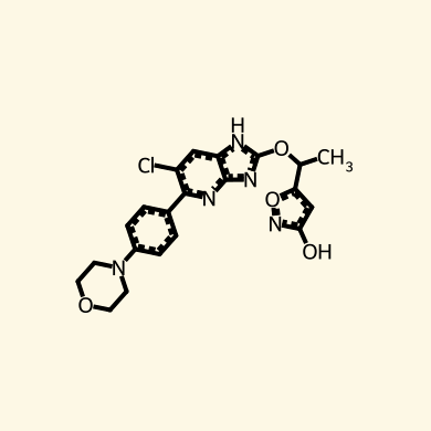 CC(Oc1nc2nc(-c3ccc(N4CCOCC4)cc3)c(Cl)cc2[nH]1)c1cc(O)no1